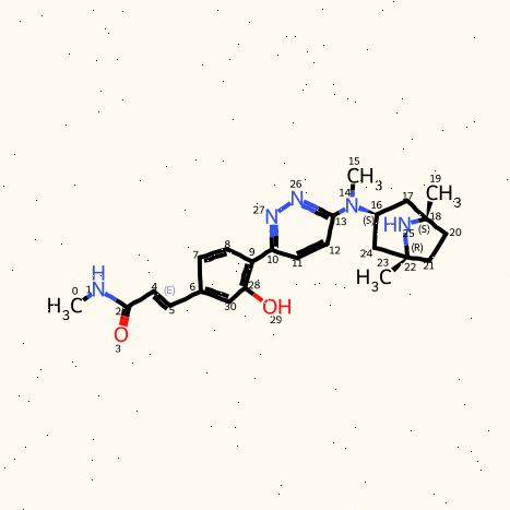 CNC(=O)/C=C/c1ccc(-c2ccc(N(C)[C@H]3C[C@]4(C)CC[C@](C)(C3)N4)nn2)c(O)c1